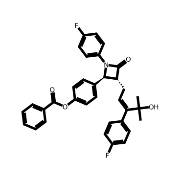 CC(C)(O)/C(=C\C[C@H]1C(=O)N(c2ccc(F)cc2)[C@@H]1c1ccc(OC(=O)c2ccccc2)cc1)c1ccc(F)cc1